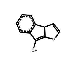 OC1=C2SC=CC2c2ccccc21